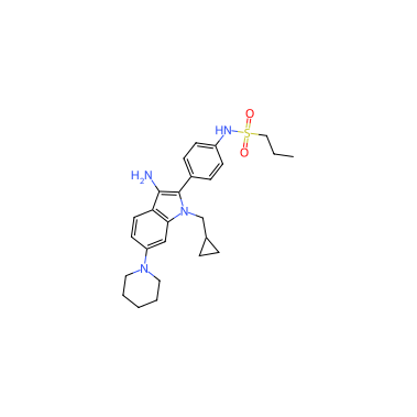 CCCS(=O)(=O)Nc1ccc(-c2c(N)c3ccc(N4CCCCC4)cc3n2CC2CC2)cc1